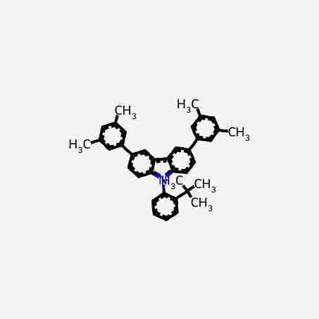 Cc1cc(C)cc(-c2ccc3c(c2)c2cc(-c4cc(C)cc(C)c4)ccc2n3-c2ccccc2C(C)(C)C)c1